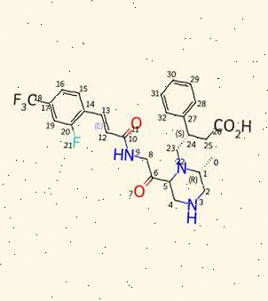 C[C@@H]1CNCC(C(=O)CNC(=O)/C=C/c2ccc(C(F)(F)F)cc2F)N1C[C@@H](CC(=O)O)c1ccccc1